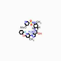 COC1=CN=C[C@H](S(=O)(=O)NC2=C(C)C[C@@H]3C[C@H]([C@@H](O)c4cnn(-c5cnc(OC6=C(F)C=CCC6)cc5C)c4N)N[C@@H]3C2)C1